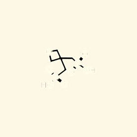 O=S(=O)(O)CC1(CS(=O)(=O)O)COC1